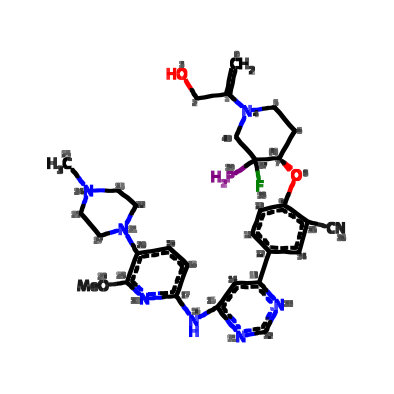 C=C(CO)N1CC[C@@H](Oc2ccc(-c3cc(Nc4ccc(N5CCN(C)CC5)c(OC)n4)ncn3)cc2C#N)C(F)(P)C1